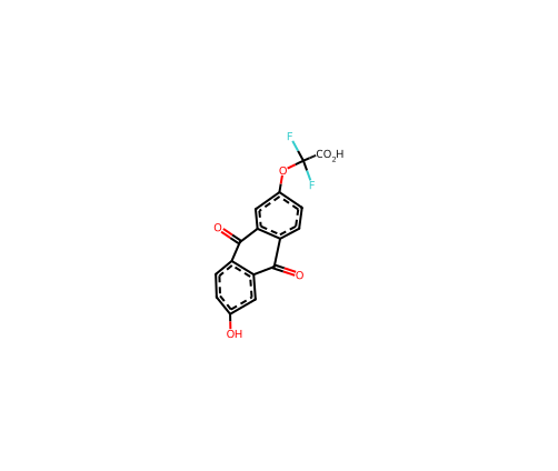 O=C1c2ccc(OC(F)(F)C(=O)O)cc2C(=O)c2ccc(O)cc21